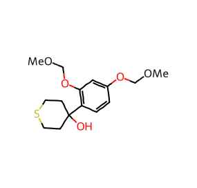 COCOc1ccc(C2(O)CCSCC2)c(OCOC)c1